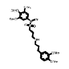 COc1ccc(CCCNCCCS(=O)(=O)N(c2cc(OC)c(OC)c(OC)c2)C(C)C)cc1OC